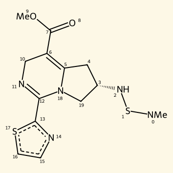 CNSN[C@H]1CC2=C(C(=O)OC)CN=C(c3nccs3)N2C1